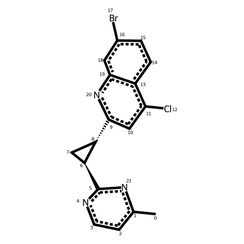 Cc1ccnc([C@H]2C[C@@H]2c2cc(Cl)c3ccc(Br)cc3n2)n1